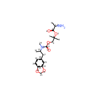 CC(N)C(=O)OC(C)(C)COC(=O)N(C)C(C)Cc1ccc2c(c1)OCO2